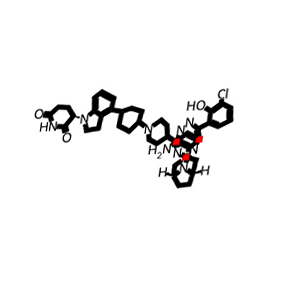 Nc1nnc(-c2cccc(Cl)c2O)cc1N1C[C@H]2CC[C@@H](C1)N2c1nccc(C2CCN(C3CCC(c4cccc5c4CCN5[C@H]4CCC(=O)NC4=O)CC3)CC2)n1